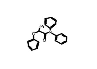 CC(C)C(Oc1ccccc1)C(=O)N(c1ccccc1)c1ccccc1